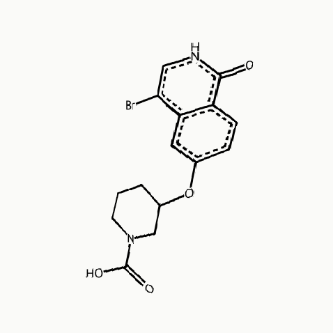 O=C(O)N1CCCC(Oc2ccc3c(=O)[nH]cc(Br)c3c2)C1